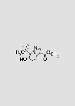 COC(=O)c1cnn2c(C(C)C)c(O)ccc12